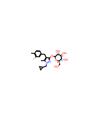 Cc1ccc(Cc2c(OC3O[C@H](CO)[C@@H](O)[C@H](O)[C@H]3O)nn(CC3CC3)c2C)cc1F